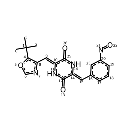 CC(C)(C)c1ocnc1/C=c1\[nH]c(=O)/c(=C/c2cccc(N=O)c2)[nH]c1=O